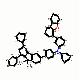 CC1(C)c2ccc(-c3ccc(N(c4ccccc4)c4cccc(-c5cccc6c5oc5ccccc56)c4)cc3)cc2-c2cc(-c3ccccc3)cc(-c3ccccc3)c21